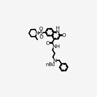 CCCCN(CCCNC(=O)c1cc(=O)[nH]c2ccc(S(=O)(=O)N3CCCCC3C)cc12)Cc1ccccc1